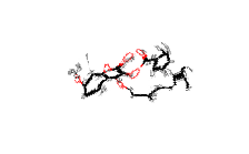 CC(C)=CCCC(C)=CCOc1c(OC(=O)c2ccccc2)c(=O)oc2cc(OC(C)C)ccc12